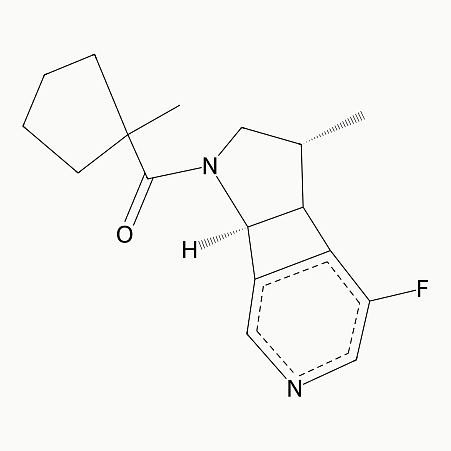 C[C@H]1CN(C(=O)C2(C)CCCC2)[C@@H]2c3cncc(F)c3C21